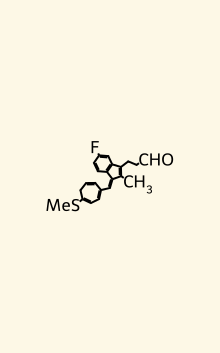 CSC1=CC=C(/C=C2/C(C)=C(CCC=O)c3cc(F)ccc32)C=CC1